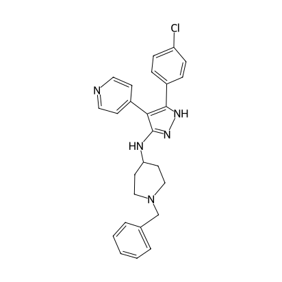 Clc1ccc(-c2[nH]nc(NC3CCN(Cc4ccccc4)CC3)c2-c2ccncc2)cc1